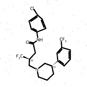 O=C(C[C@@H](CN1CCC[C@@H](c2cccc(C(F)(F)F)c2)C1)C(F)(F)F)Nc1ccc(Cl)cc1